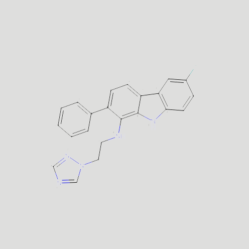 Fc1ccc2[nH]c3c(NCCn4cncn4)c(-c4ccccc4)ccc3c2c1